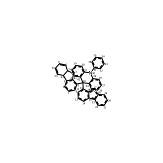 C1=CC2Oc3c(cccc3C3(c4cccc5c4oc4ccccc45)c4ccccc4N(c4ccccc4)c4ccccc43)C2C=C1